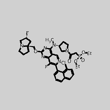 CCOP(=O)(CC(=O)N1CC[C@@H](N(C)c2nc(OC[C@@]34CCCN3C[C@H](F)C4)nc3c(F)c(-c4cccc5cccc(Cl)c45)ncc23)C1)OCC